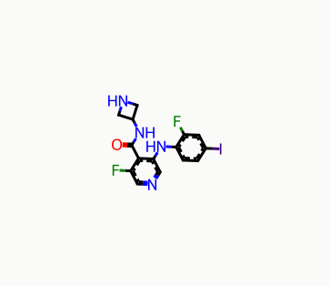 O=C(NC1CNC1)c1c(F)cncc1Nc1ccc(I)cc1F